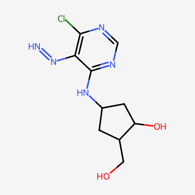 N=Nc1c(Cl)ncnc1NC1CC(O)C(CO)C1